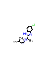 C=C(/C=C\N=C(\c1nc2cc(Cl)ccc2[nH]1)C(C)CC)CCC